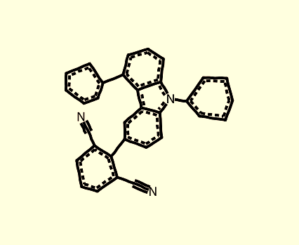 N#Cc1cccc(C#N)c1-c1ccc2c(c1)c1c(-c3ccccc3)cccc1n2-c1ccccc1